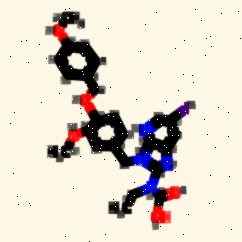 CCN(C(=O)O)c1nc2cc(I)cnc2n1Cc1ccc(OCc2ccc(OC)cc2)c(OC)c1